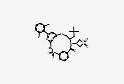 Cc1cccc(C)c1-c1cc2nc(n1)NS(=O)(=O)c1cccc(c1)C(=O)N(C1CS(=O)(=O)C1)C(CC(C)(C)C)CO2